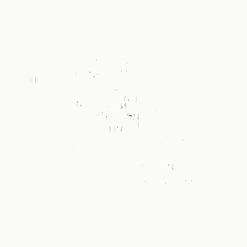 CCC1CN(C)C2=C(N[C@@](N)(Nc3cc4ccn(S(C)(=O)=O)c4cc3OC)NC2=O)N1C1CCCC1